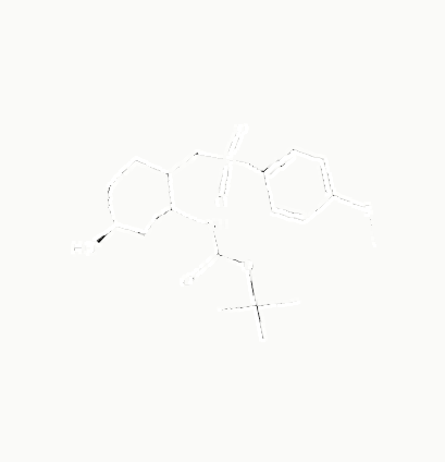 CSc1ccc(S(=O)(=O)CC2CC[C@H](O)CC2NC(=O)OC(C)(C)C)cc1